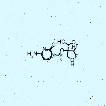 C[C@@H](OC(CO)(C(O)O)C(F)F)n1ccc(N)nc1=O